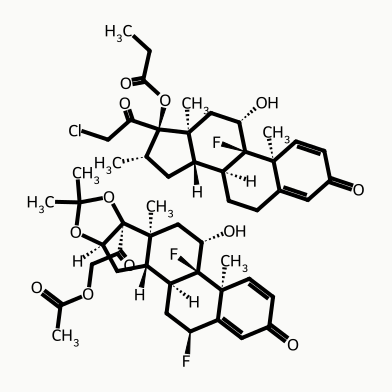 CC(=O)OCC(=O)[C@@]12OC(C)(C)O[C@@H]1C[C@H]1[C@@H]3C[C@H](F)C4=CC(=O)C=C[C@]4(C)[C@@]3(F)[C@@H](O)C[C@@]12C.CCC(=O)O[C@]1(C(=O)CCl)[C@@H](C)C[C@H]2[C@@H]3CCC4=CC(=O)C=C[C@]4(C)[C@@]3(F)[C@@H](O)C[C@@]21C